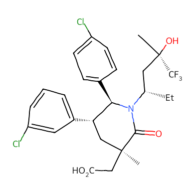 CC[C@@H](C[C@@](C)(O)C(F)(F)F)N1C(=O)[C@@](C)(CC(=O)O)C[C@H](c2cccc(Cl)c2)[C@H]1c1ccc(Cl)cc1